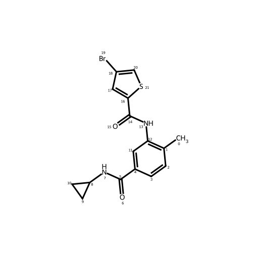 Cc1ccc(C(=O)NC2CC2)cc1NC(=O)c1cc(Br)cs1